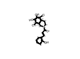 O=C(C=Cc1ccccc1O)N1CCc2c(Cl)c(O)c(O)c(Cl)c2C1